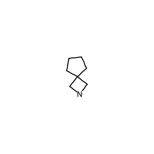 C1CCC2(C1)C[N]C2